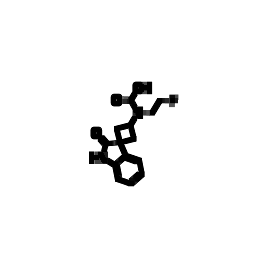 O=C(O)N(CCF)C1CC2(C1)C(=O)Nc1ccccc12